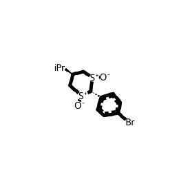 CC(C)[C@H]1C[S+]([O-])[C@H](c2ccc(Br)cc2)[S+]([O-])C1